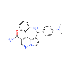 CN(C)c1ccc(C2Nc3ccccc3-c3c(C(N)=O)cnn4ccc2c34)cc1